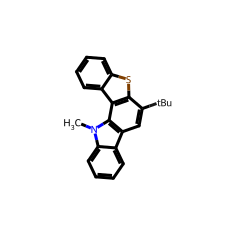 Cn1c2ccccc2c2cc(C(C)(C)C)c3sc4ccccc4c3c21